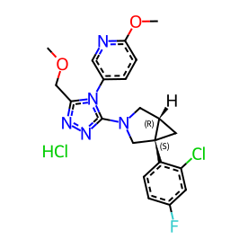 COCc1nnc(N2C[C@@H]3C[C@]3(c3ccc(F)cc3Cl)C2)n1-c1ccc(OC)nc1.Cl